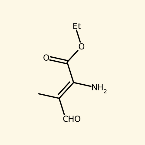 CCOC(=O)C(N)=C(C)C=O